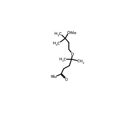 COC(C)(C)CCOC(C)(C)CCC(=O)C(C)(C)C